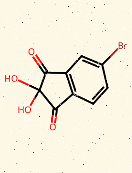 O=C1c2ccc(Br)cc2C(=O)C1(O)O